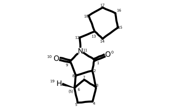 O=C1C2C3CC[C@@H](C3)C2C(=O)N1CC1CCCCC1